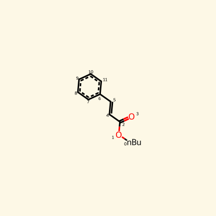 CCCCOC(=O)/C=C/c1ccccc1